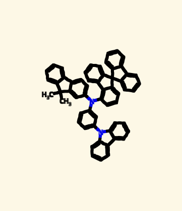 CC1(C)c2ccccc2-c2ccc(N(c3cccc(-n4c5ccccc5c5ccccc54)c3)c3cccc4c3-c3ccccc3C43c4ccccc4-c4ccccc43)cc21